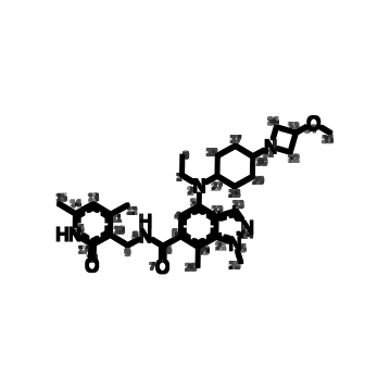 CCN(c1cc(C(=O)NCc2c(C)cc(C)[nH]c2=O)c(C)c2c1cnn2C)C1CCC(N2CC(OC)C2)CC1